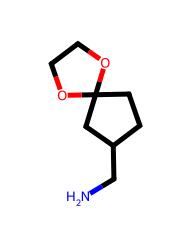 NCC1CCC2(C1)OCCO2